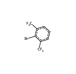 FC(F)(F)c1c[c]cc(C(F)(F)F)c1Br